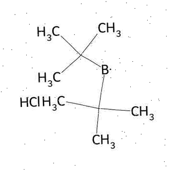 CC(C)(C)[B]C(C)(C)C.Cl